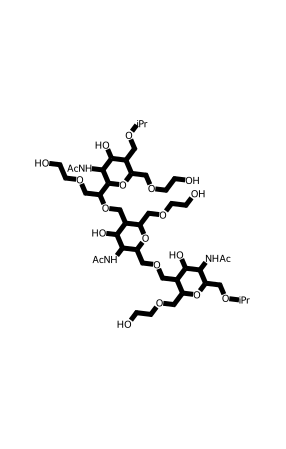 CC(=O)NC1C(COC(C)C)OC(COCCO)C(COCC2OC(COCCO)C(COC(COCCO)C3OC(COCCO)C(COC(C)C)C(O)C3NC(C)=O)C(O)C2NC(C)=O)C1O